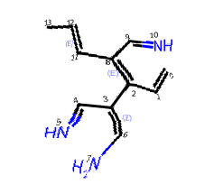 C=CC(/C(C=N)=C/N)=C(C=N)/C=C/C